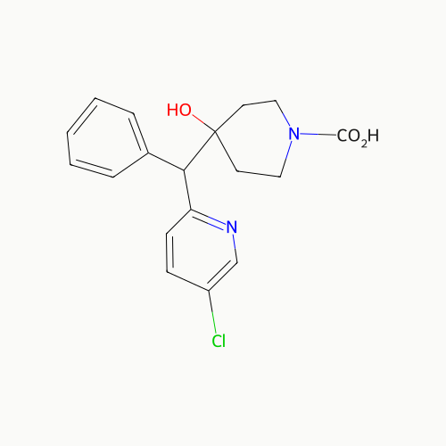 O=C(O)N1CCC(O)(C(c2ccccc2)c2ccc(Cl)cn2)CC1